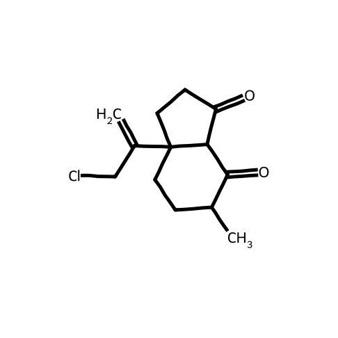 C=C(CCl)C12CCC(=O)C1C(=O)C(C)CC2